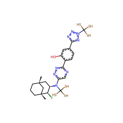 C[C@]12CCC[C@](C)(C1)[C@H](F)[C@H](N(c1cnc(-c3ccc(-c4nnn(C(S)(S)S)n4)cc3O)nn1)C(S)(S)S)C2